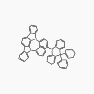 C1=CCCC(n2c3ccccc3c3ccc4c5ccccc5n(-c5ccc(N6C7=CCCC=C7C(C7=CCCC=C7)(c7ccccc7)c7ccccc76)cc5)c4c32)=C1